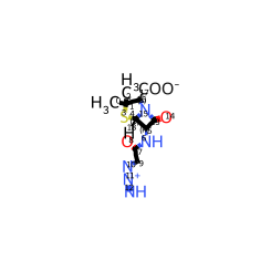 CC1(C)S[C@H]2[C@H](NC(=O)CN=[N+]=N)C(=O)N2[C@H]1C(=O)[O-]